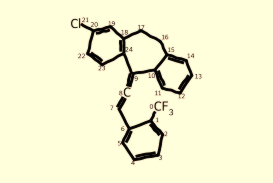 FC(F)(F)c1ccccc1C=C=C1c2ccccc2CCc2cc(Cl)ccc21